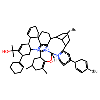 CC1=C2O[C@H]3[n+]4ccc(C5C=CC(C(C)(C)C)=CC5)cc4C4CC(C(C)(C)C)CC(C5CCCc6c5[n+]3c(n6C3CC(C5=CCCCC5)C(C(C)(C)O)=CC3C3C=CCCC3)C2CC(C)C1)C4C